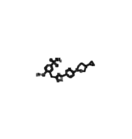 CC(C)Oc1ccc(S(N)(=O)=O)cc1Cc1nc(-c2ccc(N3CCN(C4CC4)CC3)nc2)cs1